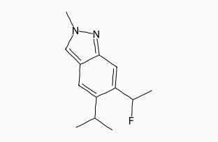 CC(C)c1cc2cn(C)nc2cc1C(C)F